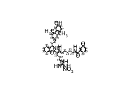 C[C@H]1CN(CCC(NC(=O)C(CCCNC(=N)N[N+](=O)[O-])NCCCCCNC(=O)C2=CC=CC(=O)C2)c2ccccc2)CC[C@]1(C)c1cccc(O)c1